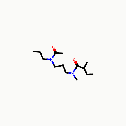 CCCN(CCCN(C)C(=O)C(C)CC)C(C)=O